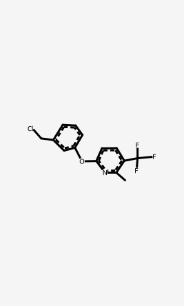 Cc1nc(Oc2cccc(CCl)c2)ccc1C(F)(F)F